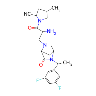 CC1CC(C#N)N(C(=O)C(N)CN2CC3CC2C(=O)N3C(C)c2cc(F)cc(F)c2)C1